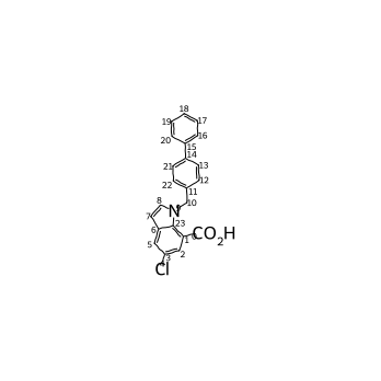 O=C(O)c1cc(Cl)cc2ccn(Cc3ccc(-c4ccccc4)cc3)c12